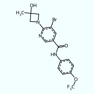 CC1(O)CN(c2ncc(C(=O)Nc3ccc(OC(F)(F)F)cc3)cc2Br)C1